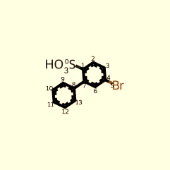 O=S(=O)(O)c1ccc(Br)cc1-c1ccccc1